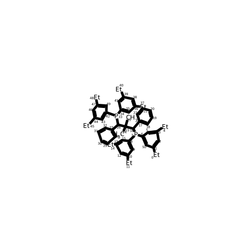 CCc1cc(CC)cc(P(c2cc(CC)cc(CC)c2)C(c2ccccc2)C(C)(C)C(c2ccccc2)P(c2cc(CC)cc(CC)c2)c2cc(CC)cc(CC)c2)c1